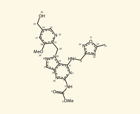 COC(=O)Nc1nc(NCc2noc(C)n2)c2c(cnn2Cc2ncc(CO)cc2OC)n1